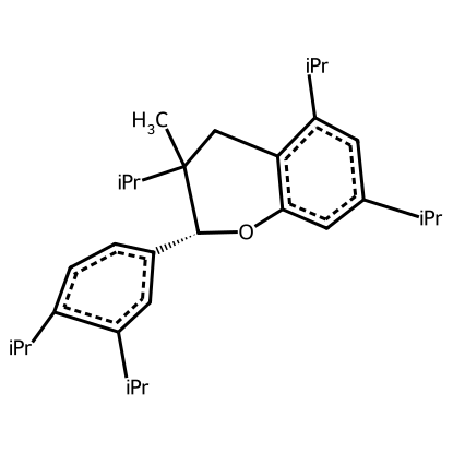 CC(C)c1cc2c(c(C(C)C)c1)CC(C)(C(C)C)[C@@H](c1ccc(C(C)C)c(C(C)C)c1)O2